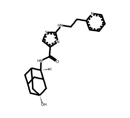 O=C(N[C@H]1C2CC3CC1C[C@](O)(C3)C2)c1csc(NCCc2ccccn2)n1